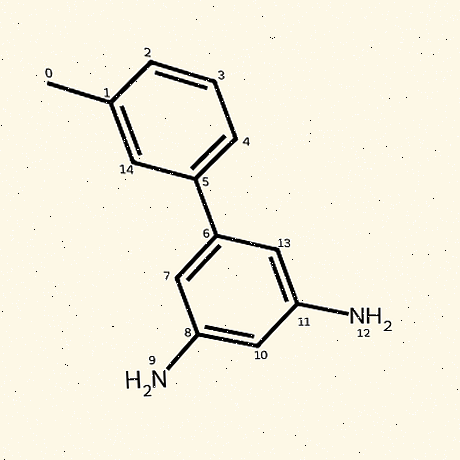 Cc1cccc(-c2cc(N)cc(N)c2)c1